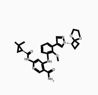 COc1c(Nc2cc(NC(=O)[C@H]3CC3(C)C)ncc2C(N)=O)cccc1-c1cnn([C@H]2CCC23OCCO3)c1